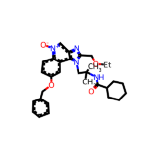 CCOCc1nc2c[n+]([O-])c3ccc(OCc4ccccc4)cc3c2n1CC(C)(C)NC(=O)C1CCCCC1